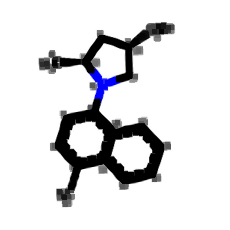 CO[C@@H]1C[C@H](C)N(c2ccc(C#N)c3ccccc23)C1